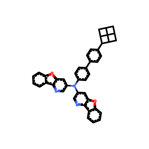 c1ccc2c(c1)oc1cc(N(c3ccc(-c4ccc(C5C6CC7CC8CC5C786)cc4)cc3)c3cnc4c(c3)oc3ccccc34)cnc12